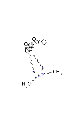 CCCCC/C=C\C/C=C\CCCCCCCCC1(CCCCCCCC/C=C\C/C=C\CCCCC)O[C@H]2[C@H](CNC(=O)OCc3ccccc3)OC[C@H]2O1